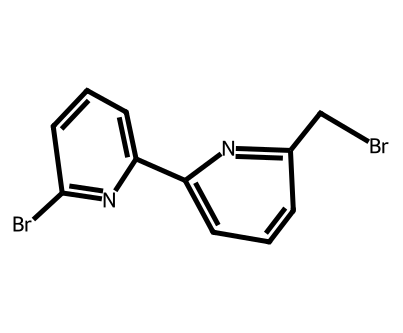 BrCc1cccc(-c2cccc(Br)n2)n1